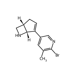 Cc1cc(C2=CC[C@H]3CN[C@@H]23)cnc1Br